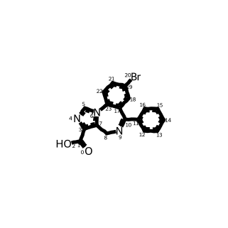 O=C(O)c1ncn2c1CN=C(c1ccccc1)c1cc(Br)ccc1-2